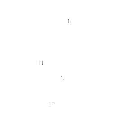 Cc1ncccc1-c1nc(C(F)(F)F)c[nH]1